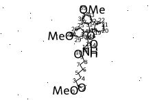 COC(=O)CCCCCCC(=O)NCC(O)COC(c1ccccc1)(c1ccc(OC)cc1)c1ccc(OC)cc1